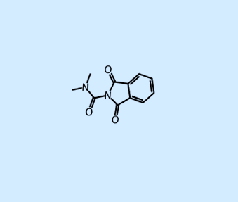 CN(C)C(=O)N1C(=O)c2ccccc2C1=O